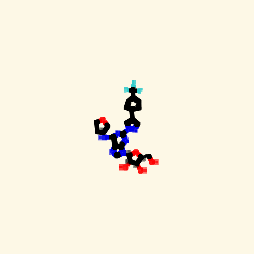 OC[C@H]1O[C@@H](n2cnc3c(N[C@@H]4CCOC4)nc(-n4cc(-c5ccc(C(F)(F)F)cc5)cn4)nc32)[C@H](O)[C@@H]1O